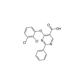 O=C(O)c1cnc(-c2ccccc2)nc1Oc1cccc(Cl)c1Cl